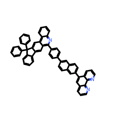 c1ccc(C2(c3ccccc3)c3ccccc3-c3cc4c(-c5ccc(-c6ccc7cc(-c8cc9cccnc9c9ncccc89)ccc7c6)cc5)nc5ccccc5c4cc32)cc1